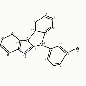 Brc1cccc(-n2c3ccccc3n3c4c(nc23)C=CCC4)c1